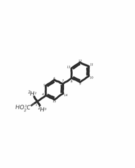 [2H]C([2H])(C(=O)O)c1ccc(-c2ccccc2)cc1